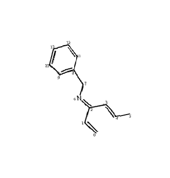 C=CC(/C=C/C)=N/Cc1ccccc1